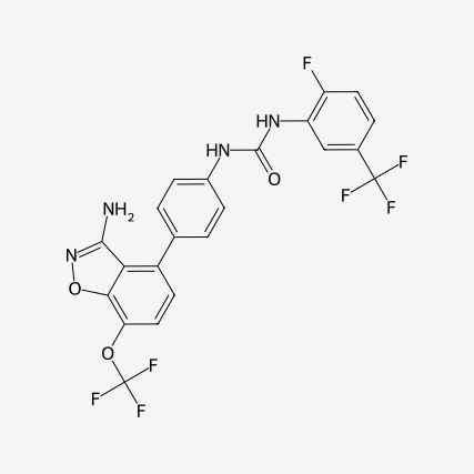 Nc1noc2c(OC(F)(F)F)ccc(-c3ccc(NC(=O)Nc4cc(C(F)(F)F)ccc4F)cc3)c12